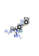 C/C(N)=C\C=C(/NCCN)c1ccc(NSc2cccc(C#N)c2)cc1Cl